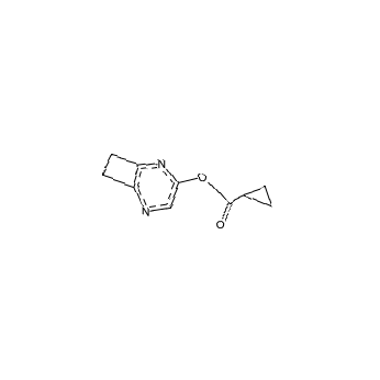 O=C(Oc1cnc2c(n1)CC2)C1CC1